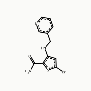 NC(=O)c1sc(Br)cc1NCc1cccnc1